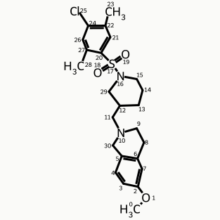 COc1ccc2c(c1)CCN(CC1CCCN(S(=O)(=O)c3cc(C)c(Cl)cc3C)C1)C2